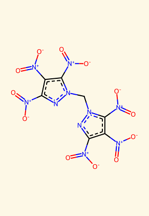 O=[N+]([O-])c1nn(Cn2nc([N+](=O)[O-])c([N+](=O)[O-])c2[N+](=O)[O-])c([N+](=O)[O-])c1[N+](=O)[O-]